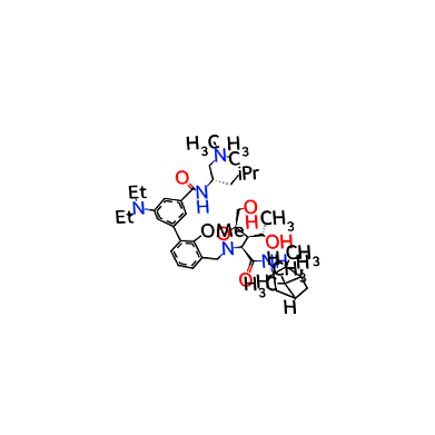 CCN(CC)c1cc(C(=O)N[C@@H](CC(C)C)CN(C)C)cc(-c2cccc(CN3O[C@@H](CO)[C@@H]([C@H](C)O)[C@H]3C(=O)N[C@H]3C[C@H]4C[C@@H]([C@@H]3C)C4(C)C)c2OC)c1